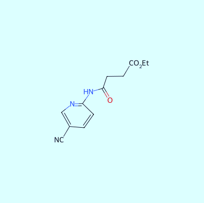 CCOC(=O)CCC(=O)Nc1ccc(C#N)cn1